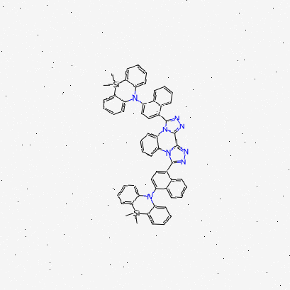 C[Si]1(C)c2ccccc2N(c2ccc(-c3nnc4c5nnc(-c6ccc(N7c8ccccc8[Si](C)(C)c8ccccc87)c7ccccc67)n5c5ccccc5n34)c3ccccc23)c2ccccc21